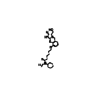 CN(C(=O)CCCCCOc1cccc2c1N=C1NC(=O)C(CO)N1C2)C1CCCCC1